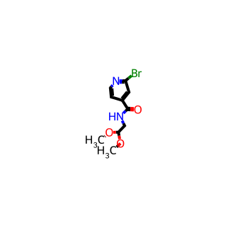 COC(CNC(=O)c1ccnc(Br)c1)OC